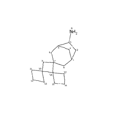 NC1CC2CC1CC1(C2)CC2(CCC2)C12CCC2